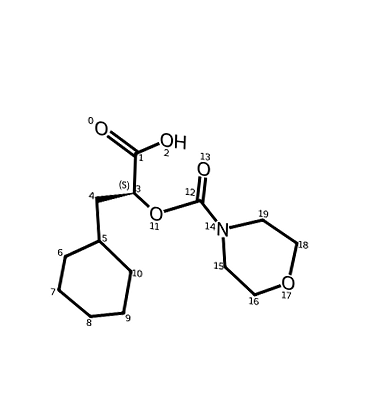 O=C(O)[C@H](CC1CCCCC1)OC(=O)N1CCOCC1